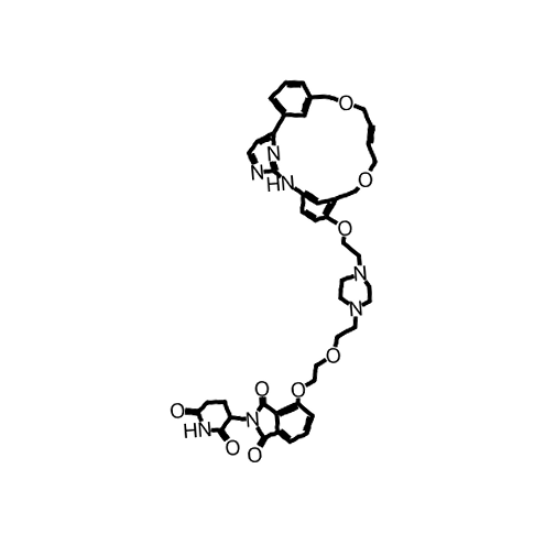 O=C1CCC(N2C(=O)c3cccc(OCCOCCN4CCN(CCOc5ccc6cc5COC/C=C/COCc5cccc(c5)-c5ccnc(n5)N6)CC4)c3C2=O)C(=O)N1